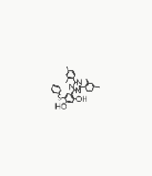 Cc1ccc(-c2nc(-c3ccc(C)cc3C)nc(-c3cc(Sc4ccccc4)c(O)cc3O)n2)c(C)c1